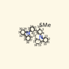 CSCc1ccc(-n2c3c(c4ccccc42)C=CCC3C)cc1-c1cccc(-n2c3ccccc3c3ccccc32)c1